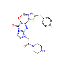 CCCCOc1c(-c2ncc(Cc3ccc(F)cc3)s2)nc2n(CC(=O)N3CCNCC3)ccn2c1=O